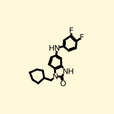 O=c1[nH]c2cc(Nc3ccc(F)c(F)c3)ccc2n1CC1CCCCC1